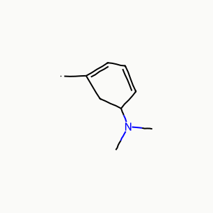 [CH2]C1=CC=CC(N(C)C)C1